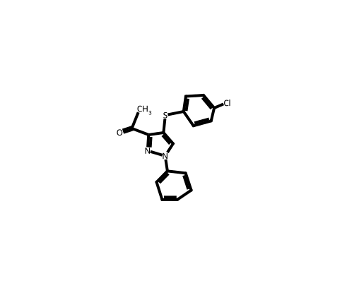 CC(=O)c1nn(-c2ccccc2)cc1Sc1ccc(Cl)cc1